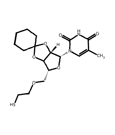 Cc1cn([C@@H]2O[C@H](COCCS)C3OC4(CCCCC4)O[C@@H]32)c(=O)[nH]c1=O